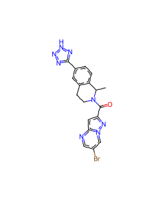 CC1c2ccc(-c3nn[nH]n3)cc2CCN1C(=O)c1cc2ncc(Br)cn2n1